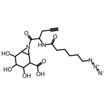 C#CCC(NC(=O)CCCCCN=[N+]=[N-])C(=O)N1C2C(O)C(O)C(O)C(C(=O)O)C21